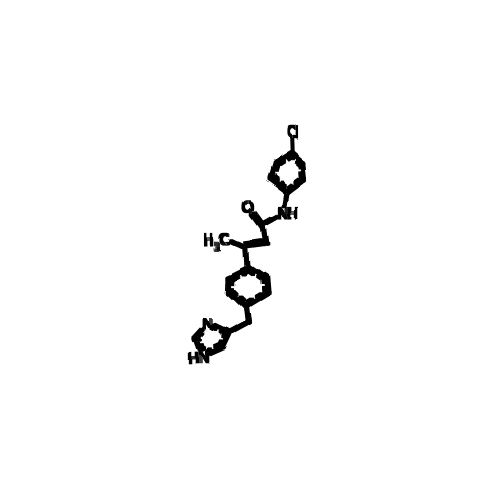 C/C(=C\C(=O)Nc1ccc(Cl)cc1)c1ccc(Cc2c[nH]cn2)cc1